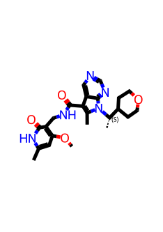 COc1cc(C)[nH]c(=O)c1CNC(=O)c1c(C)n([C@@H](C)C2CCOCC2)c2ncncc12